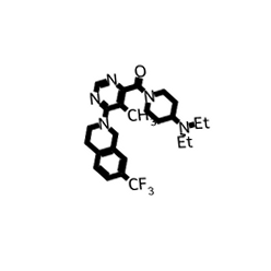 CCN(CC)C1CCN(C(=O)c2ncnc(N3CCc4ccc(C(F)(F)F)cc4C3)c2C)CC1